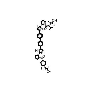 COC(=O)N[C@H]1CC[C@@H](C(=O)N2CCC[C@H]2c2ncc(-c3ccc(-c4ccc(-c5cnc([C@@H]6CCCN6C(=O)[C@H](C(C)C)N(C)C(=O)O)[nH]5)cc4)cc3)[nH]2)CC1